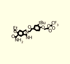 CCOc1cc2c(cc1C(N)=O)C(=N)N(CC(=O)c1ccc(OCC(=O)OC(=O)C(F)(F)F)c(C(C)(C)C)c1)C2